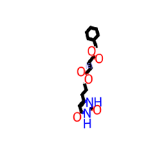 O=C(/C=C/C(=O)OCC1CCCCC1)OCCCc1cc(=O)[nH]c(=O)[nH]1